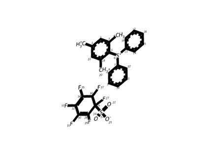 Cc1cc(C)c([S+](c2ccccc2)c2ccccc2)c(C)c1.O=S(=O)([O-])C1(F)C(F)=C(F)C(F)=C(F)C1F